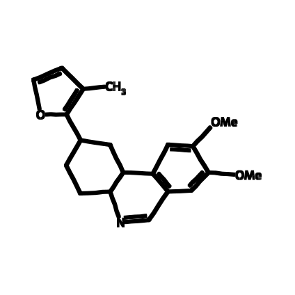 COc1cc2c(cc1OC)C1CC(c3occc3C)CCC1N=C2